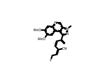 C=C(/C=C\C(C#N)=C/CF)c1nn(C)c2cnc3cc(OC)c(OC)cc3c12